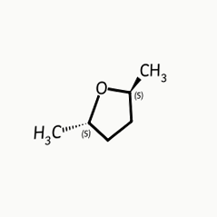 C[C@H]1CC[C@H](C)O1